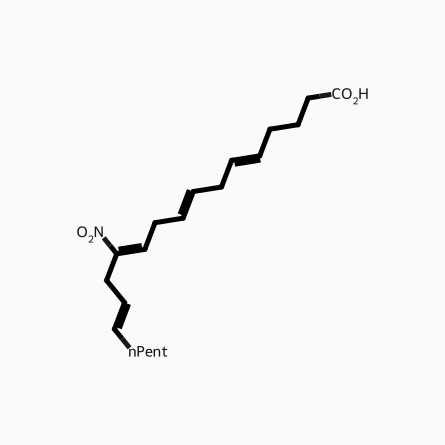 CCCCCC=CCC(=CCC=CCC=CCCCC(=O)O)[N+](=O)[O-]